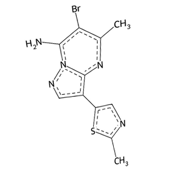 Cc1ncc(-c2cnn3c(N)c(Br)c(C)nc23)s1